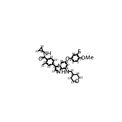 COc1ccc(Oc2cc(NCC3CCOCC3)c3ncc(-c4ccc(C(=O)NC5CC5)c(C)c4)n3c2)cc1F